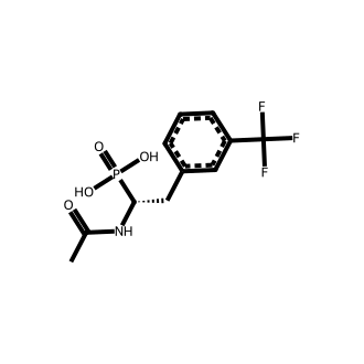 CC(=O)N[C@@H](Cc1cccc(C(F)(F)F)c1)P(=O)(O)O